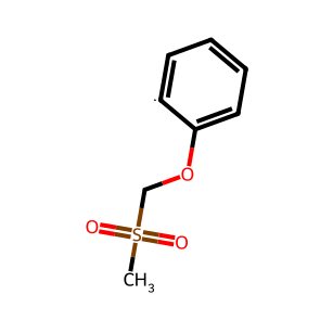 CS(=O)(=O)COc1[c]cccc1